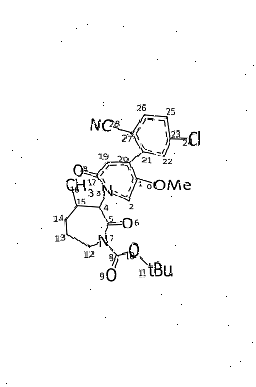 COc1cn(C2C(=O)N(C(=O)OC(C)(C)C)CCCC2C)c(=O)cc1-c1cc(Cl)ccc1C#N